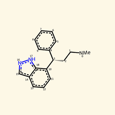 CNCC[C@@H](c1ccccc1)c1cccc2cn[nH]c12